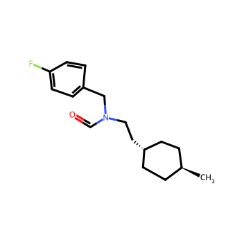 C[C@H]1CC[C@H](CCN(C=O)Cc2ccc(F)cc2)CC1